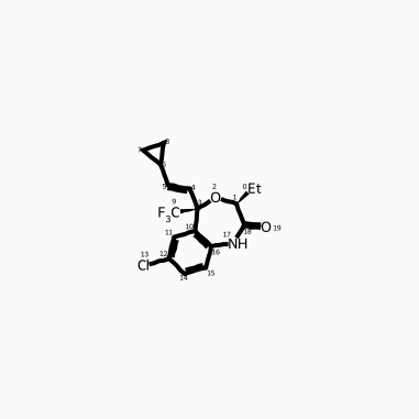 CC[C@@H]1O[C@](/C=C/C2CC2)(C(F)(F)F)c2cc(Cl)ccc2NC1=O